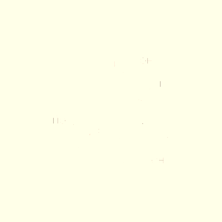 Cc1cc(C(c2cc(C)c(O)c(C)c2)c2cc(I)c(O)c(I)c2)cc(C)c1O